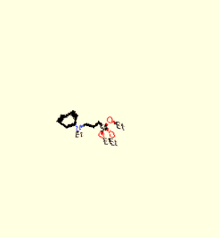 CCO[Si](CCCN(CC)c1ccccc1)(OCC)OCC